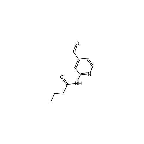 CCCC(=O)Nc1cc(C=O)ccn1